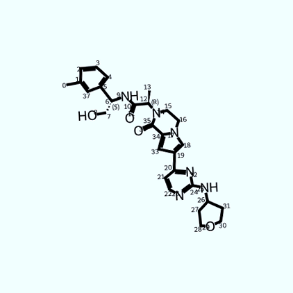 Cc1cccc([C@@H](CO)NC(=O)[C@@H](C)N2CCn3cc(-c4ccnc(NC5CCOCC5)n4)cc3C2=O)c1